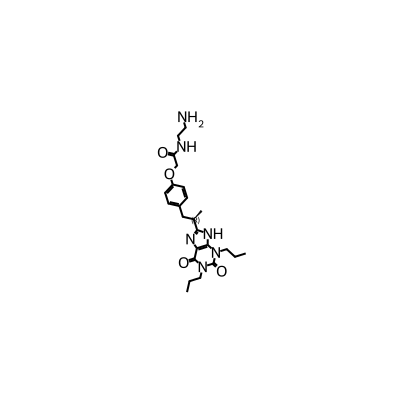 CCCn1c(=O)c2nc([C@H](C)Cc3ccc(OCC(=O)NCCN)cc3)[nH]c2n(CCC)c1=O